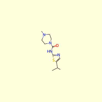 CC(C)c1cnc(NC(=O)N2CCN(C)CC2)s1